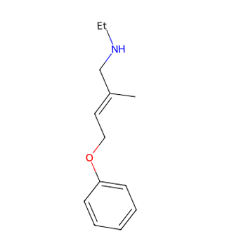 CCNC/C(C)=C/COc1ccccc1